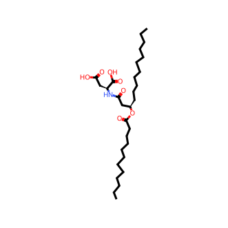 CCCCCCCCCCCC(=O)O[C@H](CCCCCCCCCCC)CC(=O)N[C@@H](CC(=O)O)C(=O)O